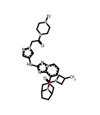 CCN1CCN(C(=O)Cn2cc(Nc3nc4c(N5CC6CCC(C5)N6C(=O)N5CC(C(F)(F)F)C5)cccn4n3)cn2)CC1